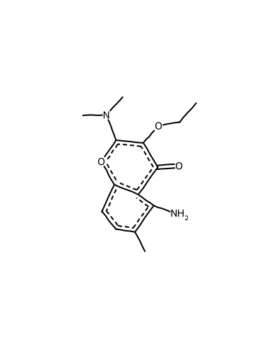 CCOc1c(N(C)C)oc2ccc(C)c(N)c2c1=O